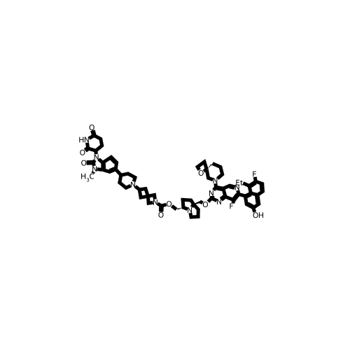 CCc1c(F)ccc2cc(O)cc(-c3ncc4c(N5CCC[C@]6(CCO6)C5)nc(OC[C@@]56CCCN5[C@H](COC(=O)N5CC7(CC(N8CCC(c9ccc%10c(c9)n(C)c(=O)n%10C9CCC(=O)NC9=O)CC8)C7)C5)CC6)nc4c3F)c12